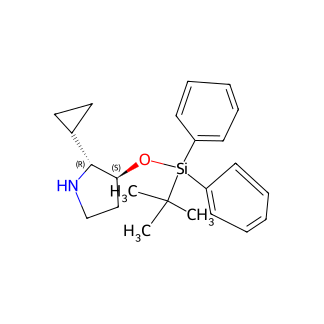 CC(C)(C)[Si](O[C@H]1CCN[C@@H]1C1CC1)(c1ccccc1)c1ccccc1